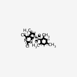 Cc1cc(C)c(S(=O)(=O)n2cc(C)c3c(Cl)nc(Cl)nc32)c(C)c1